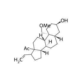 C=CC1CC[C@H]2[C@@H]3CC[C@H]4C[C@H](O)CC[C@]4(COC)[C@H]3CCC12C(C)=O